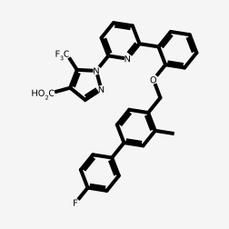 Cc1cc(-c2ccc(F)cc2)ccc1COc1ccccc1-c1cccc(-n2ncc(C(=O)O)c2C(F)(F)F)n1